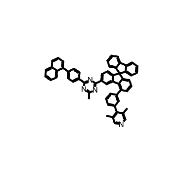 Cc1nc(-c2ccc(-c3cccc4ccccc34)cc2)nc(-c2ccc3c(c2)-c2c(-c4cccc(-c5c(C)cncc5C)c4)cccc2C32c3ccccc3-c3ccccc32)n1